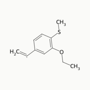 C=[C]c1ccc(SC)c(OCC)c1